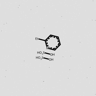 CCc1ccccn1.O=S(=O)(O)O.O=S(=O)(O)O